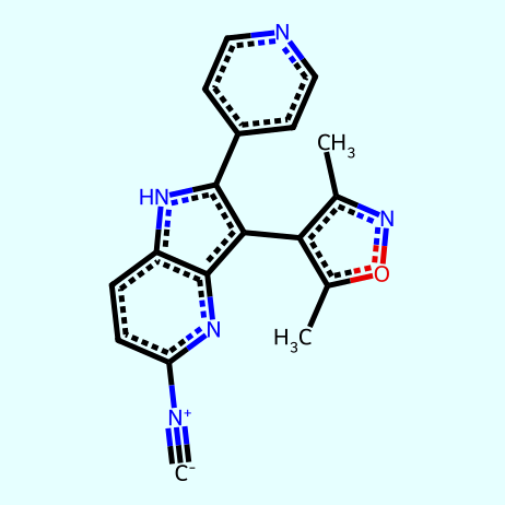 [C-]#[N+]c1ccc2[nH]c(-c3ccncc3)c(-c3c(C)noc3C)c2n1